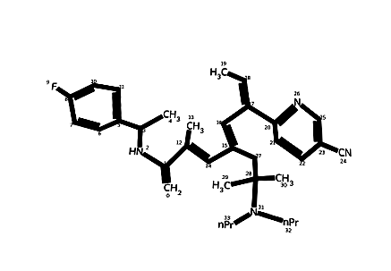 C=C(NC(C)c1ccc(F)cc1)/C(C)=C/C(=C/C(=C\C)c1ccc(C#N)cn1)CC(C)(C)N(CCC)CCC